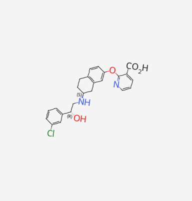 O=C(O)c1cccnc1Oc1ccc2c(c1)C[C@@H](NC[C@H](O)c1cccc(Cl)c1)CC2